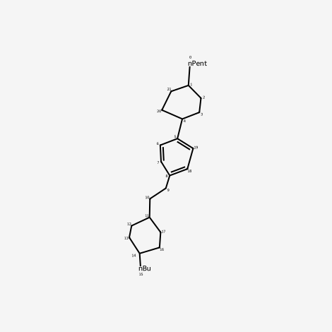 CCCCCC1CCC(c2ccc(CCC3CCC(CCCC)CC3)cc2)CC1